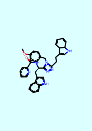 COc1ccc(Cn2c(CCC3=CNC4C=CC=CC34)nnc2[C@@H](Cc2c[nH]c3ccccc23)NC(=O)c2ccccn2)cc1